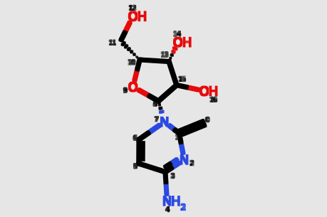 C=C1N=C(N)C=CN1[C@@H]1O[C@H](CO)[C@H](O)C1O